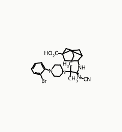 CC(C)(/C(=N/C#N)NC1C2CC3CC1CC(C(=O)O)(C3)C2)N1CCN(c2ccccc2Br)CC1